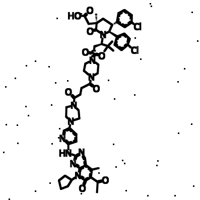 CC(=O)c1c(C)c2cnc(Nc3ccc(N4CCN(C(=O)CCC(=O)N5CCN(S(=O)(=O)C[C@@H](N6C(=O)[C@@](C)(CC(=O)O)C[C@H](c7cccc(Cl)c7)[C@H]6c6ccc(Cl)cc6)C(C)(C)C)CC5)CC4)cn3)nc2n(C2CCCC2)c1=O